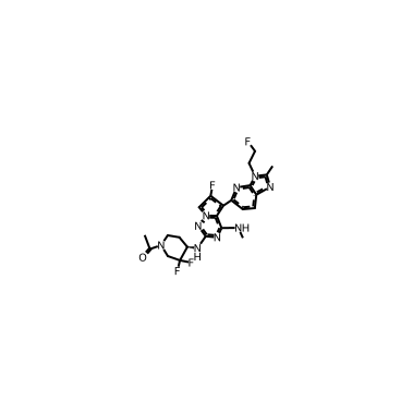 CNc1nc(N[C@@H]2CCN(C(C)=O)CC2(F)F)nn2cc(F)c(-c3ccc4nc(C)n(CCF)c4n3)c12